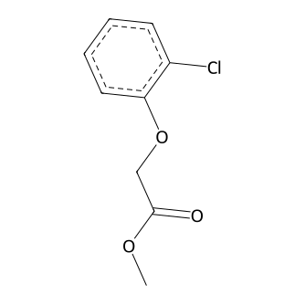 COC(=O)COc1ccccc1Cl